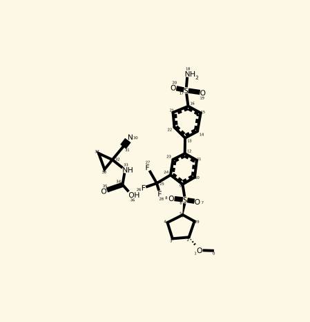 CO[C@@H]1CC[C@@H](S(=O)(=O)c2ccc(-c3ccc(S(N)(=O)=O)cc3)cc2C(F)(F)F)C1.N#CC1(NC(=O)O)CC1